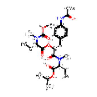 COC(=O)Nc1ccc(C[C@@H](OC(=O)[C@H](CC(C)C)N(C)C(=O)OC(C)(C)C)C(=O)N(C)[C@@H](CC(C)C)C(=O)O[C@H](C)C(=O)O)cc1